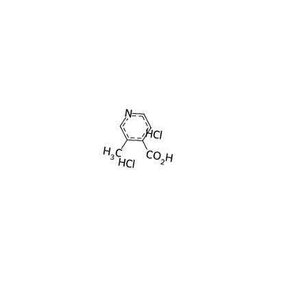 Cc1cnccc1C(=O)O.Cl.Cl